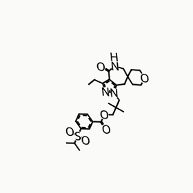 CCc1nn(CC(C)(C)COC(=O)c2cccc(S(=O)(=O)C(C)C)c2)c2c1C(=O)NCC1(CCOCC1)C2